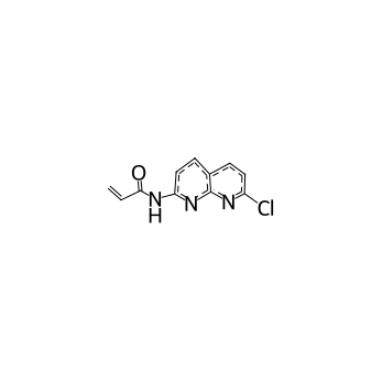 C=CC(=O)Nc1ccc2ccc(Cl)nc2n1